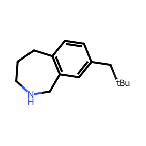 CC(C)(C)Cc1ccc2c(c1)CNCCC2